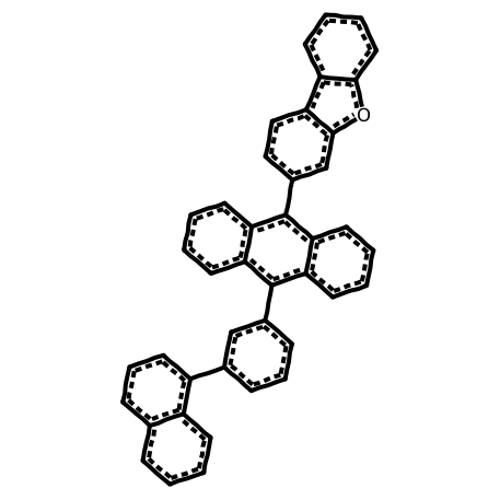 c1cc(-c2cccc3ccccc23)cc(-c2c3ccccc3c(-c3ccc4c(c3)oc3ccccc34)c3ccccc23)c1